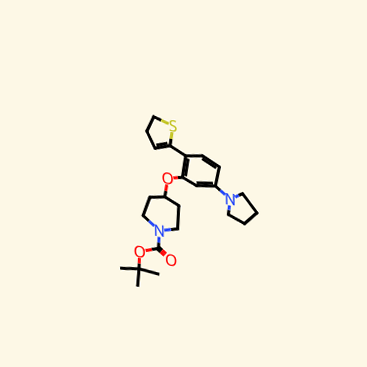 CC(C)(C)OC(=O)N1CCC(Oc2cc(N3CCCC3)ccc2C2=CCCS2)CC1